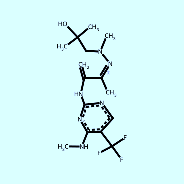 C=C(Nc1ncc(C(F)(F)F)c(NC)n1)/C(C)=N\N(C)CC(C)(C)O